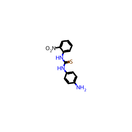 Nc1ccc(NC(=S)Nc2ccccc2[N+](=O)[O-])cc1